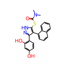 CN(C)C(=O)Sc1[nH]nc(-c2ccc(O)cc2O)c1-c1cccc2ccccc12